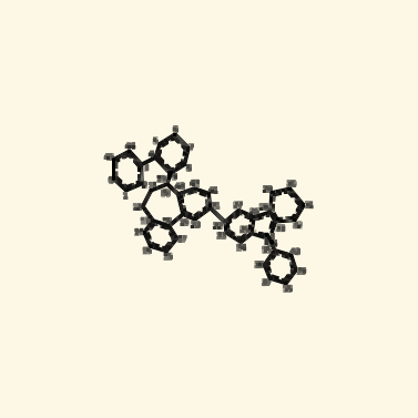 c1ccc(-c2ccccc2[C@@H]2CCc3ccccc3-c3cc(-c4ccc5c(c4)c4ccccc4n5-c4ccccc4)ccc32)cc1